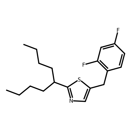 CCCCC(CCCC)c1ncc(Cc2ccc(F)cc2F)s1